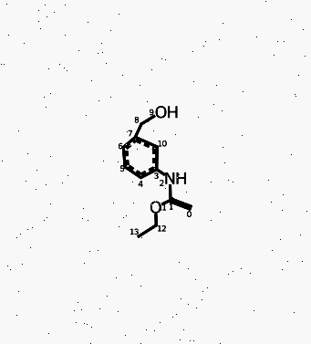 C=C(Nc1cccc(CO)c1)OCC